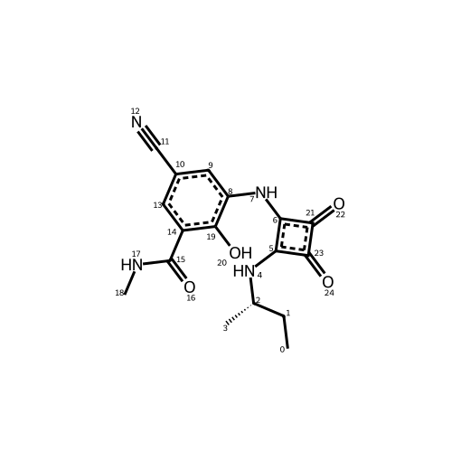 CC[C@H](C)Nc1c(Nc2cc(C#N)cc(C(=O)NC)c2O)c(=O)c1=O